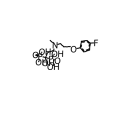 CN(CCCOc1ccc(F)cc1)CCC(O)(P(=O)(O)O)P(=O)(O)O